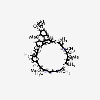 CCOP(=O)(OCC)O[C@@H]1CCC(C[C@H]2C3CCCN4C(=O)C(=O)C5(O)O[C@@H](CCC5C)C[C@H](OC)/C(C)=C/C=C/C=C/[C@@H](C)CC(C)C(=O)[C@H](OC)C(O)/C(C)=C/[C@@H](C)C(=O)C[C@@H]2OC(=O)C34)CC1OC